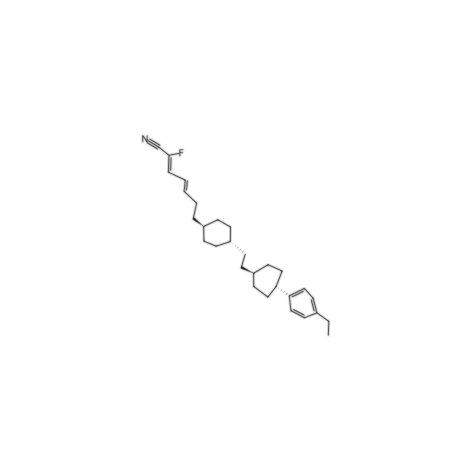 CCc1ccc([C@H]2CC[C@H](CC[C@H]3CC[C@H](CCC=CC=C(F)C#N)CC3)CC2)cc1